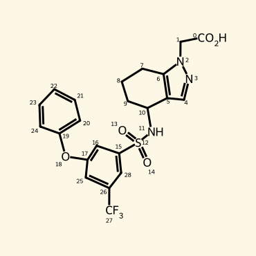 O=C(O)Cn1ncc2c1CCCC2NS(=O)(=O)c1cc(Oc2ccccc2)cc(C(F)(F)F)c1